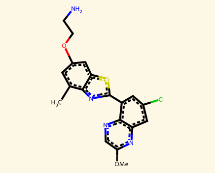 COc1cnc2c(-c3nc4c(C)cc(OCCN)cc4s3)cc(Cl)cc2n1